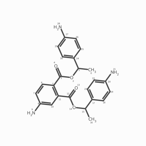 CC(OC(=O)c1ccc(N)cc1C(=O)OC(C)c1ccc(N)cc1)c1ccc(N)cc1